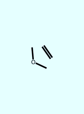 C=C.COC